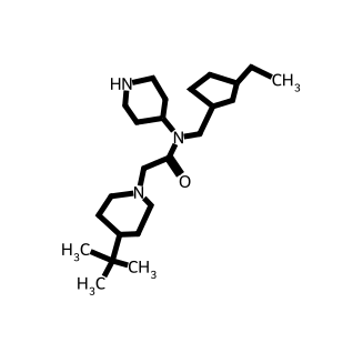 CCC1CCC(CN(C(=O)CN2CCC(C(C)(C)C)CC2)C2CCNCC2)C1